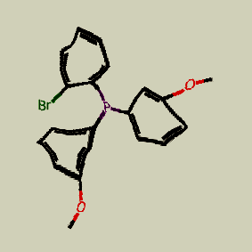 COc1cccc(P(c2cccc(OC)c2)c2ccccc2Br)c1